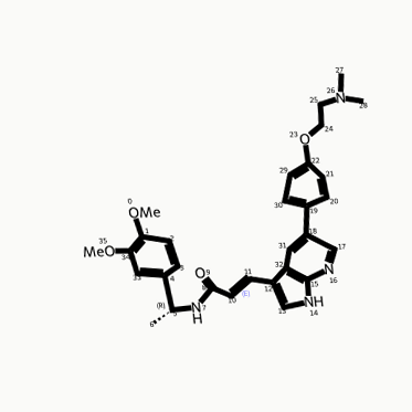 COc1ccc([C@@H](C)NC(=O)/C=C/c2c[nH]c3ncc(-c4ccc(OCCN(C)C)cc4)cc23)cc1OC